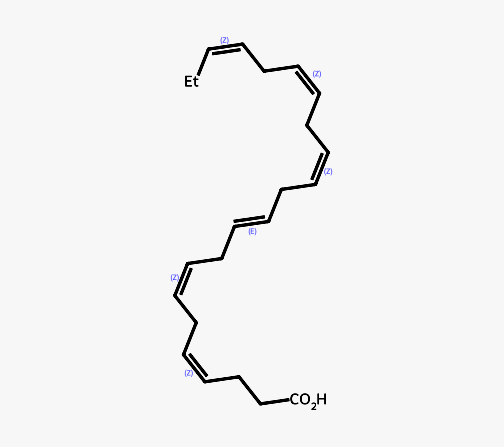 CC/C=C\C/C=C\C/C=C\C/C=C/C/C=C\C/C=C\CCC(=O)O